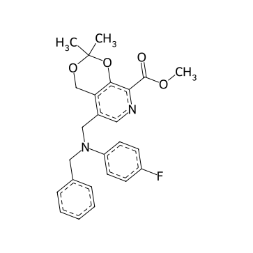 COC(=O)c1ncc(CN(Cc2ccccc2)c2ccc(F)cc2)c2c1OC(C)(C)OC2